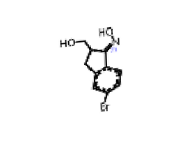 OCC1Cc2cc(Br)ccc2/C1=N/O